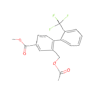 COC(=O)c1ccc(-c2ccccc2C(F)(F)F)c(COC(C)=O)c1